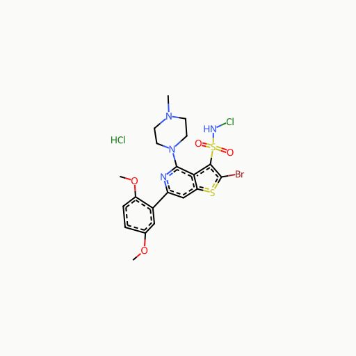 COc1ccc(OC)c(-c2cc3sc(Br)c(S(=O)(=O)NCl)c3c(N3CCN(C)CC3)n2)c1.Cl